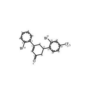 O=C1C=C(c2ccccc2Br)CC(c2ccc(C(F)(F)F)cc2Br)C1